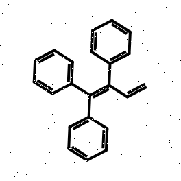 C=CC(=C(c1ccccc1)c1ccccc1)c1ccccc1